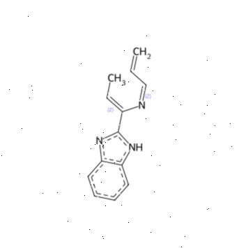 C=C/C=N\C(=C/C)c1nc2ccccc2[nH]1